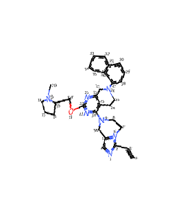 C=Cc1ncc2n1CCN(c1nc(OCC3CCCN3C)nc3c1CCN(c1cccc4ccccc14)C3)C2